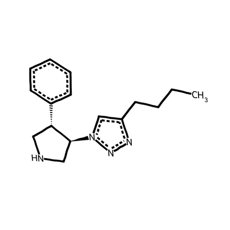 CCCCc1cn([C@H]2CNC[C@@H]2c2ccccc2)nn1